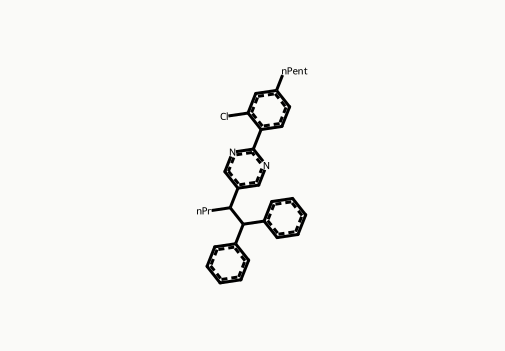 CCCCCc1ccc(-c2ncc(C(CCC)C(c3ccccc3)c3ccccc3)cn2)c(Cl)c1